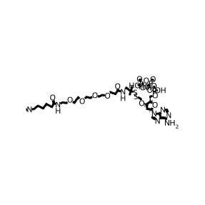 C=NCCCCCC(=O)NCCOCCOCCOCCOCCC(=O)NCC(C)(C)SSCO[C@@H]1C[C@H](n2cnc3c(N)ncnc32)O[C@@H]1COP(=O)(O)OP(=O)(O)OP(=O)(O)O